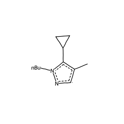 CCCCn1n[c]c(C)c1C1CC1